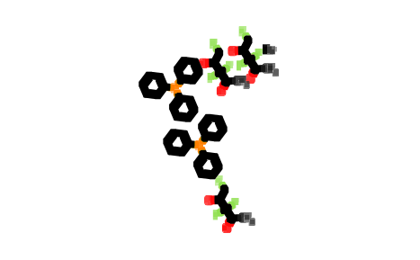 O=C(CF)C(F)(F)C(=O)C(F)(F)F.O=C(CF)C(F)(F)C(=O)C(F)(F)F.O=C(CF)C(F)(F)C(=O)C(F)(F)F.[Eu].c1ccc(P(c2ccccc2)c2ccccc2)cc1.c1ccc(P(c2ccccc2)c2ccccc2)cc1